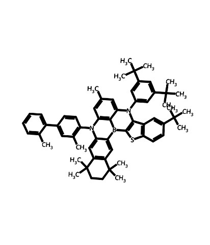 Cc1cc2c3c(c1)N(c1cc(C(C)(C)C)cc(C(C)(C)C)c1)c1c(sc4ccc(C(C)(C)C)cc14)B3c1cc3c(cc1N2c1ccc(-c2ccccc2C)cc1C)C(C)(C)CCC3(C)C